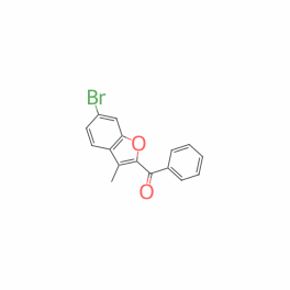 Cc1c(C(=O)c2ccccc2)oc2cc(Br)ccc12